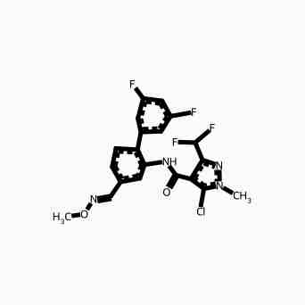 CON=Cc1ccc(-c2cc(F)cc(F)c2)c(NC(=O)c2c(C(F)F)nn(C)c2Cl)c1